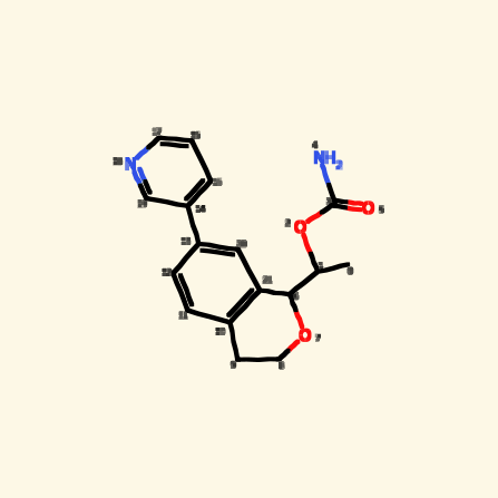 CC(OC(N)=O)C1OCCc2ccc(-c3cccnc3)cc21